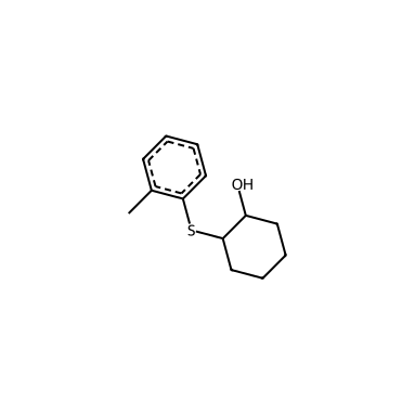 Cc1ccccc1SC1CCCCC1O